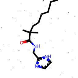 CCCCCCC(C)(C)C(=O)NCc1ncc[nH]1